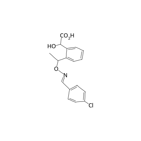 CC(ON=Cc1ccc(Cl)cc1)c1ccccc1C(O)C(=O)O